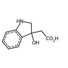 O=C(O)CC1(O)CNc2ccccc21